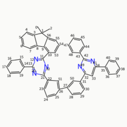 CC1(C)c2ccccc2-c2c(-c3nc(-c4ccccc4)nc(-c4cccc(-c5cccc(-c6cc(-c7ccccc7)nc(-c7ccccc7)n6)c5)c4)n3)cccc21